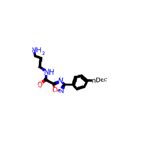 CCCCCCCCCCc1ccc(-c2noc(C(=O)NCCCN)n2)cc1